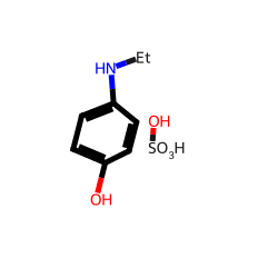 CCNc1ccc(O)cc1.O=S(=O)(O)O